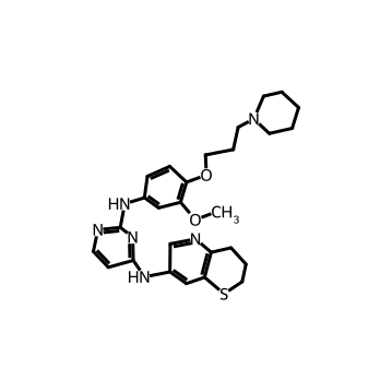 COc1cc(Nc2nccc(Nc3cnc4c(c3)SCCC4)n2)ccc1OCCCN1CCCCC1